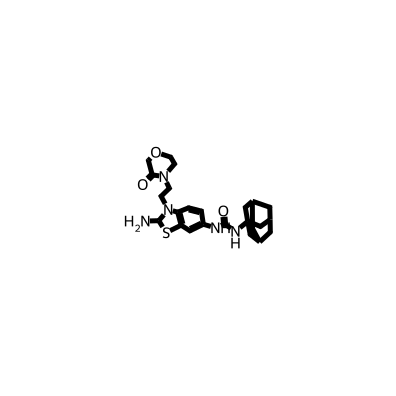 NC1Sc2cc(NC(=O)NC34CC5CC(CC(C5)C3)C4)ccc2N1CCN1CCOCC1=O